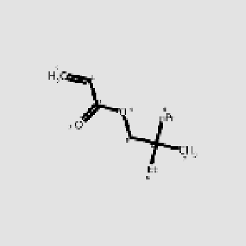 C=CC(=O)OCC(C)(CC)CCC